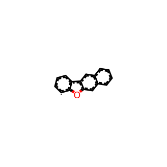 [c]1cccc2c1oc1cc3ccccc3cc12